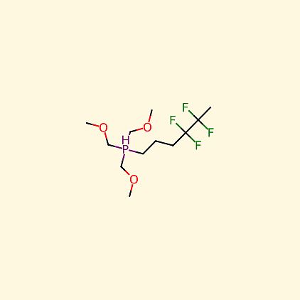 COC[PH](CCCC(F)(F)C(C)(F)F)(COC)COC